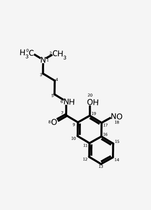 CN(C)CCCNC(=O)c1cc2ccccc2c(N=O)c1O